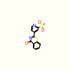 CS(=O)(=O)c1cc(-c2nc(=O)c3ccccc3s2)ccn1